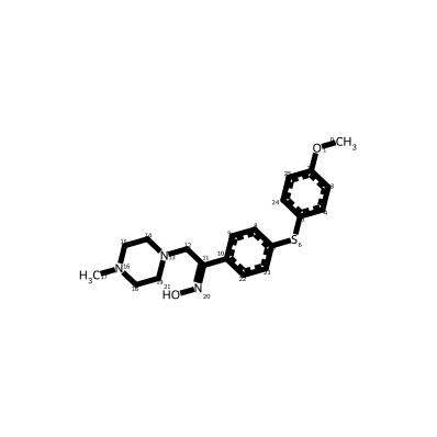 COc1ccc(Sc2ccc(C(CN3CCN(C)CC3)=NO)cc2)cc1